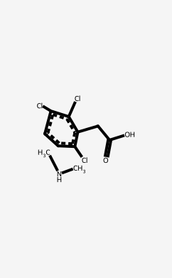 CNC.O=C(O)Cc1c(Cl)ccc(Cl)c1Cl